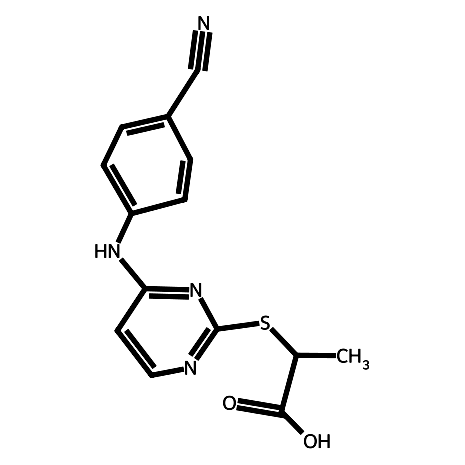 CC(Sc1nccc(Nc2ccc(C#N)cc2)n1)C(=O)O